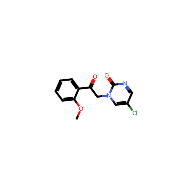 COc1ccccc1C(=O)Cn1cc(Cl)cnc1=O